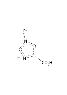 CC(C)n1cnc(C(=O)O)c1.[LiH]